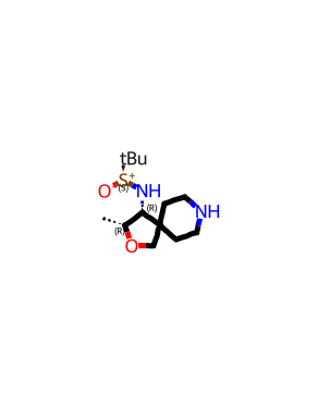 C[C@H]1OCC2(CCNCC2)[C@H]1N[S@+]([O-])C(C)(C)C